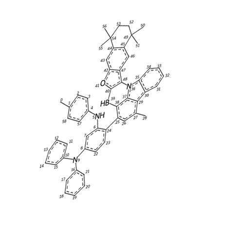 Cc1ccc(Nc2cc(N(c3ccccc3)c3ccccc3)ccc2-c2cc(C)c3c4ccccc4n4c3c2Bc2oc3cc5c(cc3c2-4)C(C)(C)CCC5(C)C)cc1